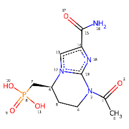 CC(=O)N1CC[C@@H](CP(=O)(O)O)n2cc(C(N)=O)nc21